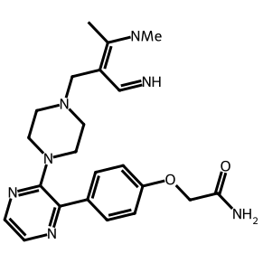 CN/C(C)=C(\C=N)CN1CCN(c2nccnc2-c2ccc(OCC(N)=O)cc2)CC1